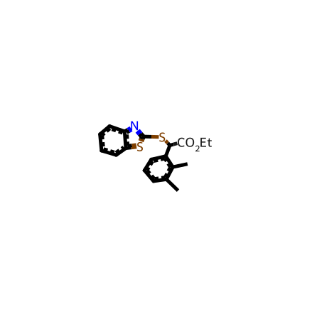 CCOC(=O)C(Sc1nc2ccccc2s1)c1cccc(C)c1C